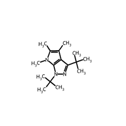 Cc1c(C)n(C)c2c1c(C(C)(C)C)nn2C(C)(C)C